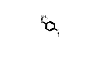 NSc1ccc(SI)cc1